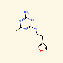 CC1N=C(N)NC(NCCc2ccoc2)=N1